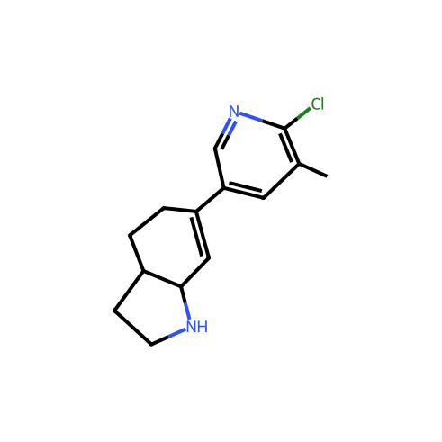 Cc1cc(C2=CC3NCCC3CC2)cnc1Cl